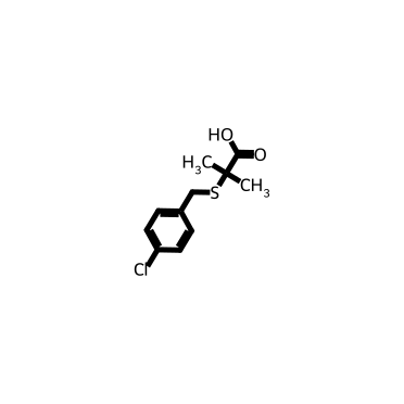 CC(C)(SCc1ccc(Cl)cc1)C(=O)O